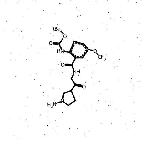 CC(C)(C)OC(=O)Nc1ccc(OC(F)(F)F)cc1C(=O)NCC(=O)C1CCN(N)C1